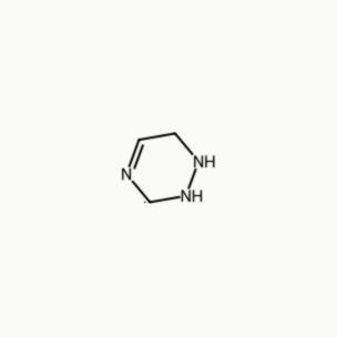 [CH]1N=CCNN1